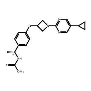 COC(=O)N[C@@H](C)c1ccc(OC2CN(c3ncc(C4CC4)cn3)C2)cc1